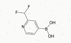 OB(O)c1ccnc(C(F)F)c1